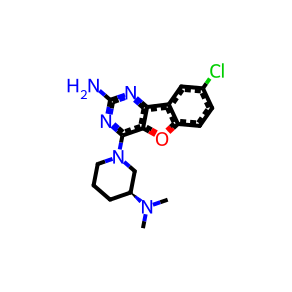 CN(C)[C@H]1CCCN(c2nc(N)nc3c2oc2ccc(Cl)cc23)C1